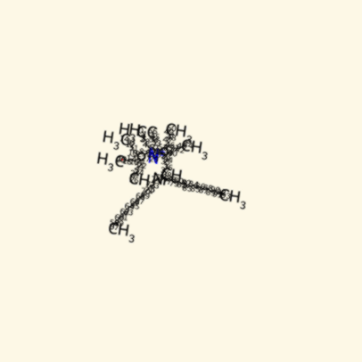 CCCCCC1=C(c2cc(CCCCC)c(CCCCC)c(CCCCC)c2)[N+](=[N-])C(c2cc(CCCCC)c(CCCCC)c(CCCCC)c2)=C1CCCC.CCCCCCCCCCCCCCCCC[CH2][Ni][CH2]CCCCCCCCCCCCCCCCC